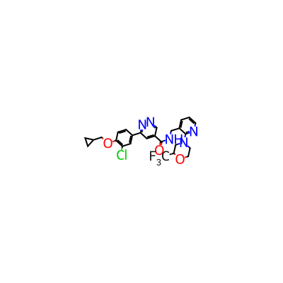 O=C(NCc1cccnc1N1CCOC(C(F)(F)F)C1)c1cnnc(-c2ccc(OCC3CC3)c(Cl)c2)c1